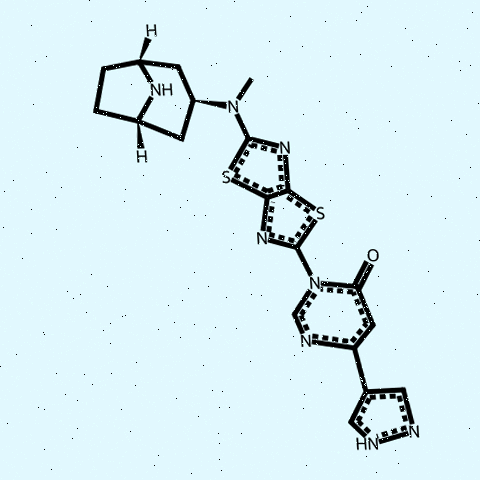 CN(c1nc2sc(-n3cnc(-c4cn[nH]c4)cc3=O)nc2s1)[C@@H]1C[C@H]2CC[C@@H](C1)N2